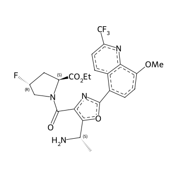 CCOC(=O)[C@@H]1C[C@@H](F)CN1C(=O)c1nc(-c2ccc(OC)c3nc(C(F)(F)F)ccc23)oc1[C@H](C)N